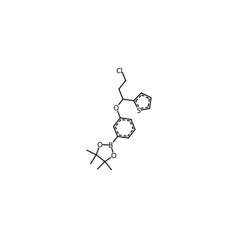 CC1(C)OB(c2cccc(OC(CCCl)c3cccs3)c2)OC1(C)C